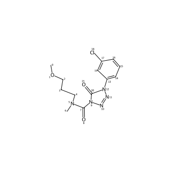 COCCCN(C)C(=O)n1nnn(-c2cccc(Cl)c2)c1=O